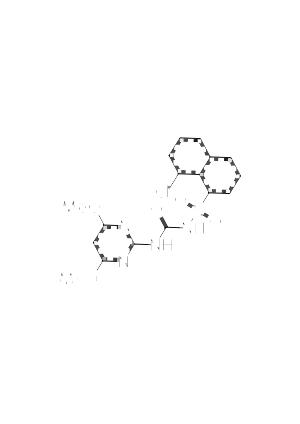 COc1cc(OC)nc(NC(=O)NS(=O)(=O)c2cccc3cccc(Cl)c23)n1